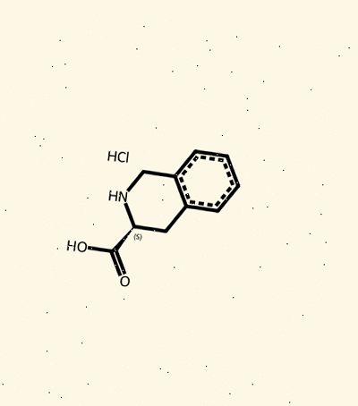 Cl.O=C(O)[C@@H]1Cc2ccccc2CN1